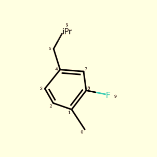 Cc1ccc(CC(C)C)cc1F